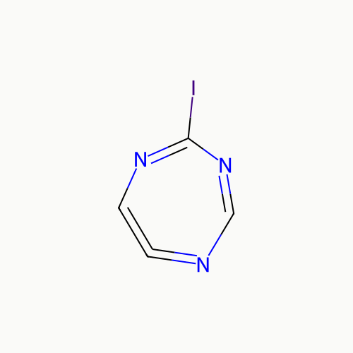 IC1=NC=C=NC=N1